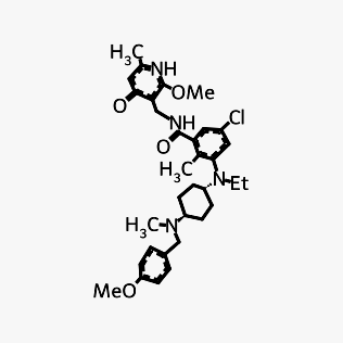 CCN(c1cc(Cl)cc(C(=O)NCc2c(OC)[nH]c(C)cc2=O)c1C)[C@H]1CC[C@H](N(C)Cc2ccc(OC)cc2)CC1